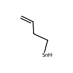 C=CC[CH2][SnH]